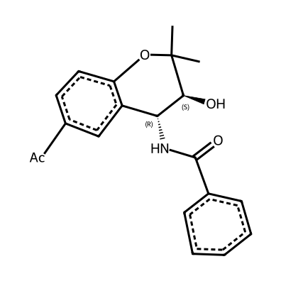 CC(=O)c1ccc2c(c1)[C@@H](NC(=O)c1ccccc1)[C@H](O)C(C)(C)O2